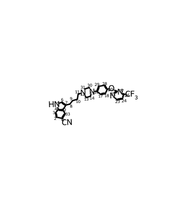 N#Cc1ccc2[nH]cc(CCCCN3CCN(c4ccc(Oc5nccc(C(F)(F)F)n5)cc4)CC3)c2c1